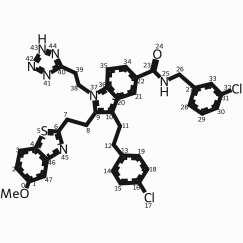 COc1ccc2sc(CCc3c(CCc4ccc(Cl)cc4)c4cc(C(=O)NCc5cccc(Cl)c5)ccc4n3CCc3nn[nH]n3)nc2c1